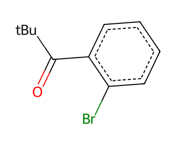 CC(C)(C)C(=O)c1ccccc1Br